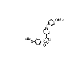 CCCCOc1ccc(S(=O)(=O)OC(=O)C2CCN(Cc3ccc(OC)cc3)CC2)cc1